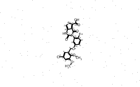 COc1cc(Cl)cc(COc2ccc(F)c(-n3c(=O)[nH]c4csc(C(=O)O)c4c3=O)c2)c1OC